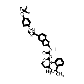 CC(C)c1ccccc1N1C(=O)CCS/C1=N\C(=O)NC1Cc2ccc(-c3ncn(-c4ccc(OC(F)(F)F)cc4)n3)cc2C1